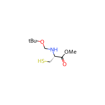 COC(=O)[C@H](CS)NCOC(C)(C)C